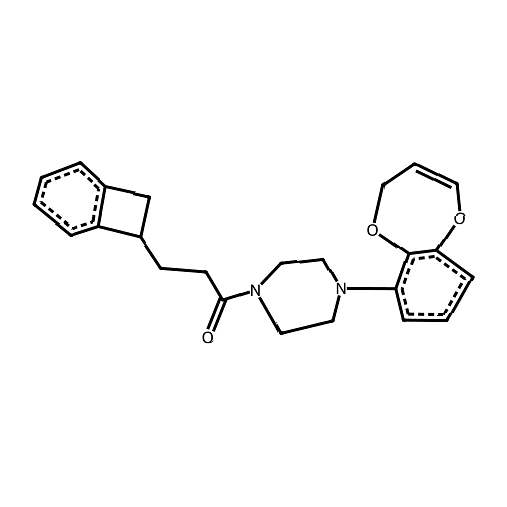 O=C(CCC1Cc2ccccc21)N1CCN(c2cccc3c2OCC=CO3)CC1